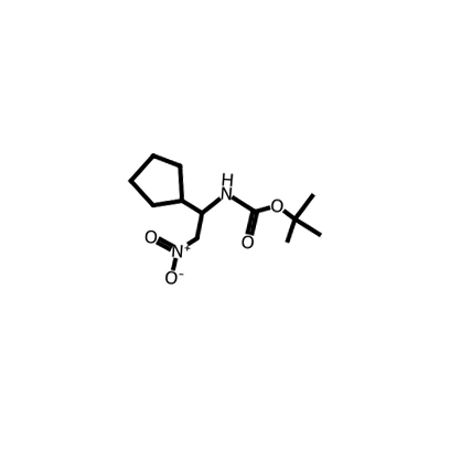 CC(C)(C)OC(=O)NC(C[N+](=O)[O-])C1CCCC1